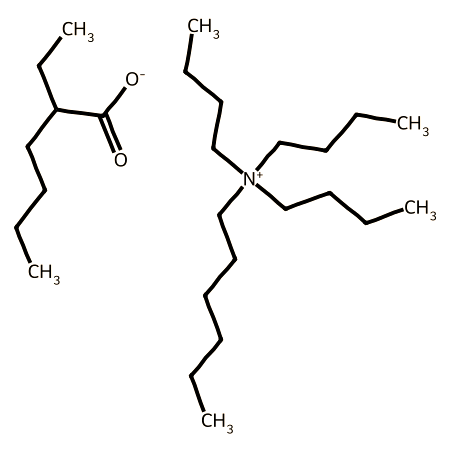 CCCCC(CC)C(=O)[O-].CCCCCC[N+](CCCC)(CCCC)CCCC